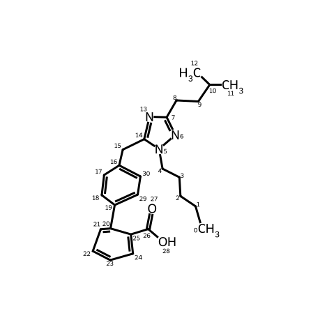 CCCCCn1nc(CCC(C)C)nc1Cc1ccc(-c2ccccc2C(=O)O)cc1